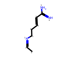 C/C=N\CC/C=C/C(=N)N